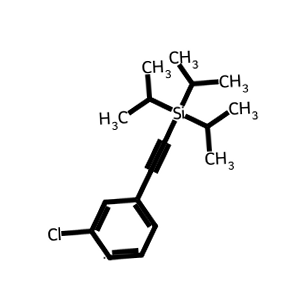 CC(C)[Si](C#Cc1cc[c]c(Cl)c1)(C(C)C)C(C)C